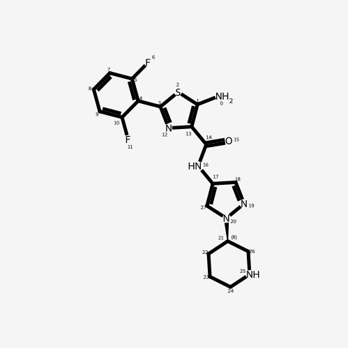 Nc1sc(-c2c(F)cccc2F)nc1C(=O)Nc1cnn([C@@H]2CCCNC2)c1